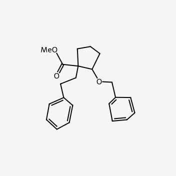 COC(=O)C1(CCc2ccccc2)CCCC1OCc1ccccc1